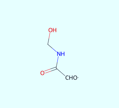 O=[C]C(=O)NCO